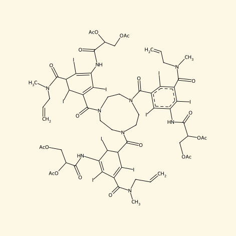 C=CCN(C)C(=O)C1=C(I)C(C(=O)N2CCN(C(=O)C3=C(I)C(NC(=O)C(COC(C)=O)OC(C)=O)=C(I)C(C(=O)N(C)CC=C)C3I)CCN(C(=O)c3c(I)c(NC(=O)C(COC(C)=O)OC(C)=O)c(I)c(C(=O)N(C)CC=C)c3I)CC2)C(I)C(NC(=O)C(COC(C)=O)OC(C)=O)=C1I